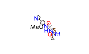 COc1cc(-c2cccnc2)ccc1NC(=O)C(C)(C)c1csc(N[S+]([O-])C2CC2)n1